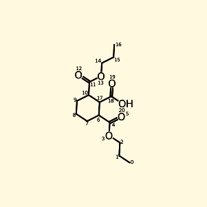 CCCOC(=O)C1CCCC(C(=O)OCCC)C1C(=O)O